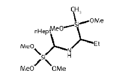 CCCCCCCC(NC(CC)[Si](C)(OC)OC)[Si](OC)(OC)OC